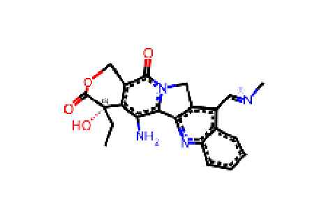 CC[C@@]1(O)C(=O)OCc2c1c(N)c1n(c2=O)Cc2c-1nc1ccccc1c2/C=N/C